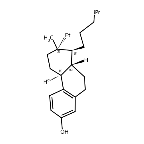 CC[C@@]1(C)CC[C@@H]2c3ccc(O)cc3CC[C@H]2[C@@H]1CCCC(C)C